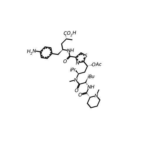 CC[C@H](C)[C@H](NC(=O)[C@H]1CCCCN1C)C(=O)N(C)[C@H](C[C@@H](OC(C)=O)c1nc(C(=O)N[C@@H](Cc2ccc(N)cc2)C[C@@H](C)C(=O)O)cs1)C(C)C